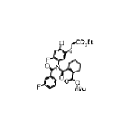 CCCCOC(=O)C1=C(C(=O)N(C(=O)c2cccc(F)c2)c2cc(SCC(=O)OCC)c(Cl)cc2F)CCCC1